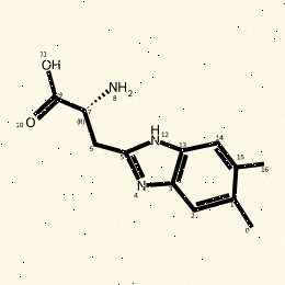 Cc1cc2nc(C[C@@H](N)C(=O)O)[nH]c2cc1C